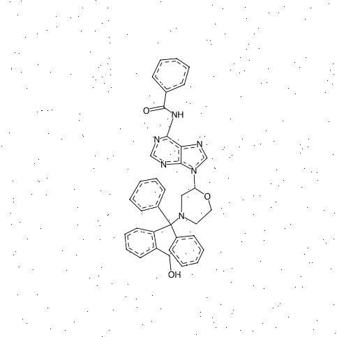 O=C(Nc1ncnc2c1ncn2C1CN(C(c2ccccc2)(c2ccccc2)c2ccccc2CO)CCO1)c1ccccc1